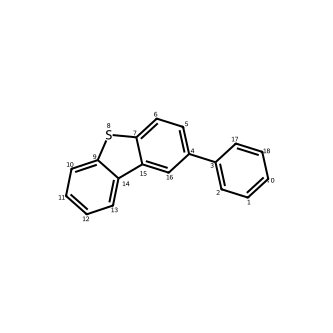 [c]1ccc(-c2ccc3sc4ccccc4c3c2)cc1